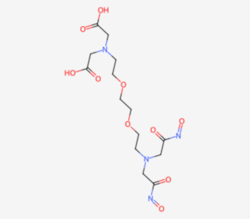 O=NC(=O)CN(CCOCCOCCN(CC(=O)O)CC(=O)O)CC(=O)N=O